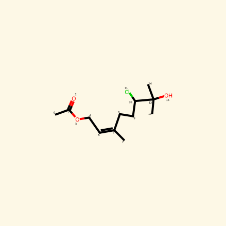 CC(=O)OCC=C(C)CCC(Cl)C(C)(C)O